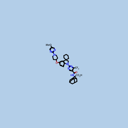 COc1cnc(N2CCC(Oc3ccc4c(c3)C3(CCCCC3)CN4c3ncc(C(=O)NC4(C(=O)O)C5CC6CC(C5)CC4C6)c(C(F)(F)F)n3)CC2)nc1